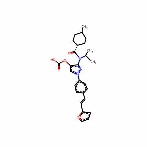 CC(C)N(c1nn(-c2ccc(/C=C/c3ccco3)cc2)cc1OC(=O)O)C(=O)[C@H]1CC[C@H](C)CC1